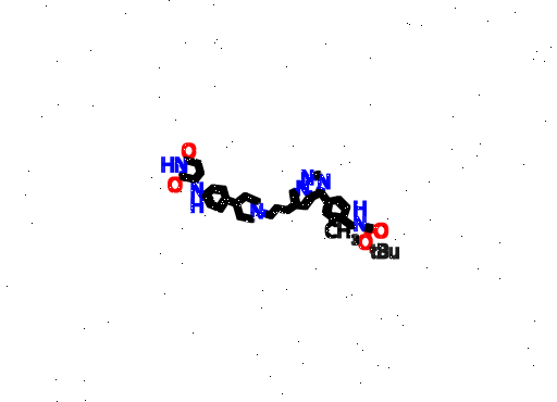 Cc1cc(-c2ncnn3cc(CCCN4CCC(c5ccc(NC6CCC(=O)NC6=O)cc5)CC4)cc23)ccc1CNC(=O)OC(C)(C)C